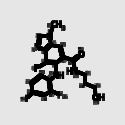 Cn1cnc2c(F)c(Nc3ccc(I)cc3F)c(C(=O)NCCCO)cc21